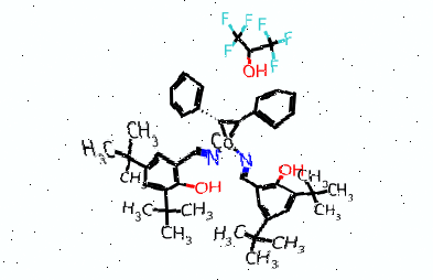 CC(C)(C)c1cc(C=[N][Co]2([N]=Cc3cc(C(C)(C)C)cc(C(C)(C)C)c3O)[C@H](c3ccccc3)[C@H]2c2ccccc2)c(O)c(C(C)(C)C)c1.OC(C(F)(F)F)C(F)(F)F